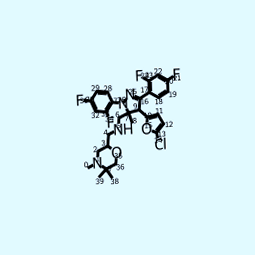 CN1CC(CNCC2(C)C(c3ccc(Cl)o3)C(c3ccc(F)cc3F)=NN2c2ccc(F)cc2F)OCC1(C)C